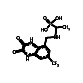 CC(NCc1cc(C(F)(F)F)cc2[nH]c(=O)c(=O)[nH]c12)P(=O)(O)O